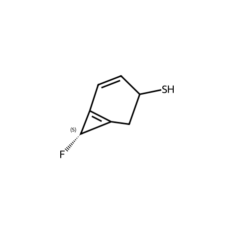 F[C@@H]1C2=C1CC(S)C=C2